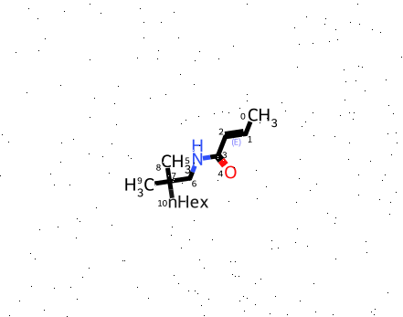 C/C=C/C(=O)NCC(C)(C)CCCCCC